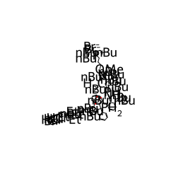 C=C(CCCC)C(P)(CCCC)CCCC.CCCC[N+](CCCC)(CCCC)CCCC.CCCC[P+](CCCC)(CCCC)CCCC.CCCC[P+](CCCC)(CCCC)CCCOC.CCCCc1ccccc1C(N)(CCCC)CCCC.CC[P+](CC)(CC)CC.Cl.Cl.Cl.PC(c1ccccc1)(c1ccccc1)c1ccccc1-c1ccccc1.[Br-].[Br-].[Br-].[Cl-]